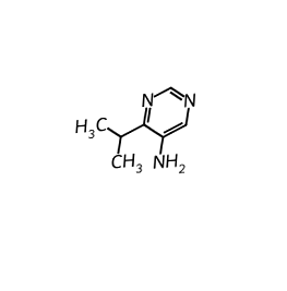 CC(C)c1ncncc1N